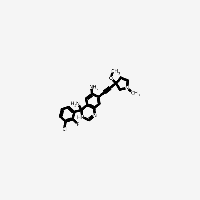 COC1(C#Cc2cc3c(cc2N)C(N)(c2cccc(Cl)c2F)NC=N3)CCN(C)C1